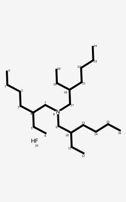 CCCCC(CC)CN(CC(CC)CCCC)CC(CC)CCCC.F